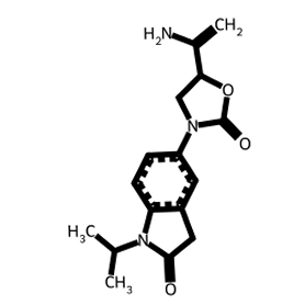 C=C(N)C1CN(c2ccc3c(c2)CC(=O)N3C(C)C)C(=O)O1